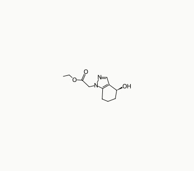 CCOC(=O)Cn1ncc2c1CCC[C@@H]2O